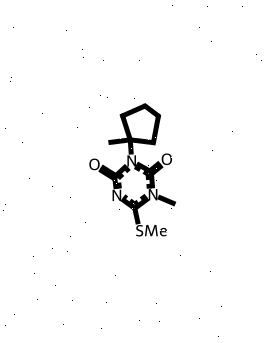 CSc1nc(=O)n(C2(C)CCCC2)c(=O)n1C